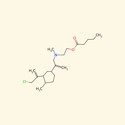 C=C(CN(C)CCOC(=O)CCCC)C1CCC(C)C(C(=C)CCl)C1